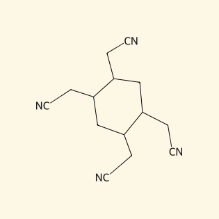 N#CCC1CC(CC#N)C(CC#N)CC1CC#N